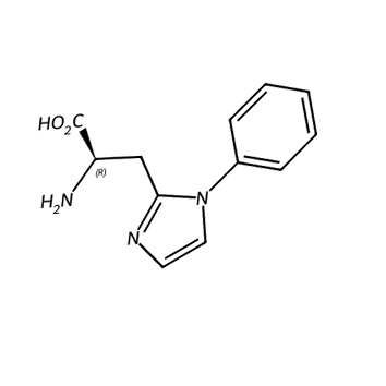 N[C@H](Cc1nccn1-c1ccccc1)C(=O)O